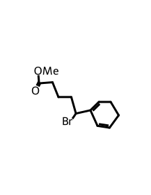 COC(=O)CCCC(Br)C1=CCCC=C1